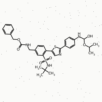 CC(C)OC(O)Nc1ccc(-c2ncc(-c3ccc(CNC(=O)OCc4ccccc4)cc3S(=O)(=O)NC(C)(C)C)s2)cc1